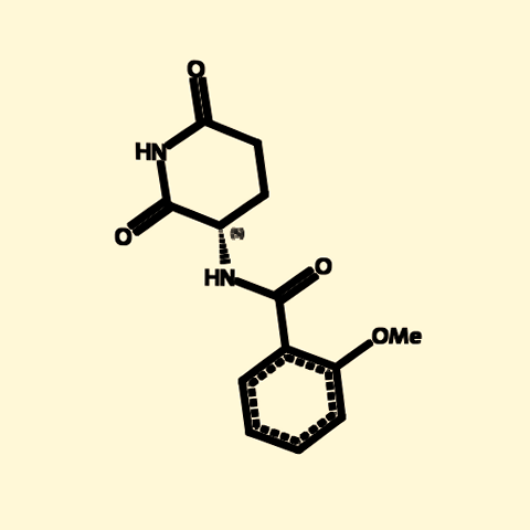 COc1ccccc1C(=O)N[C@H]1CCC(=O)NC1=O